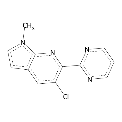 Cn1ccc2cc(Cl)c(-c3ncccn3)nc21